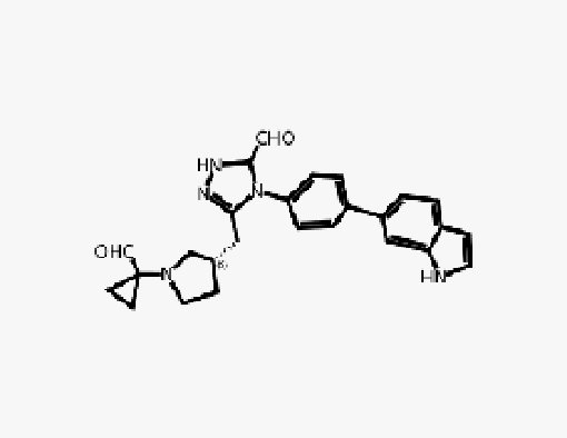 O=CC1NN=C(C[C@@H]2CCN(C3(C=O)CC3)C2)N1c1ccc(-c2ccc3cc[nH]c3c2)cc1